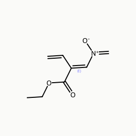 C=C/C(=C\[N+](=C)[O-])C(=O)OCC